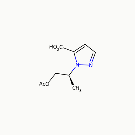 CC(=O)OC[C@H](C)n1nccc1C(=O)O